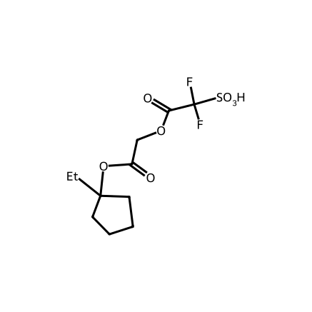 CCC1(OC(=O)COC(=O)C(F)(F)S(=O)(=O)O)CCCC1